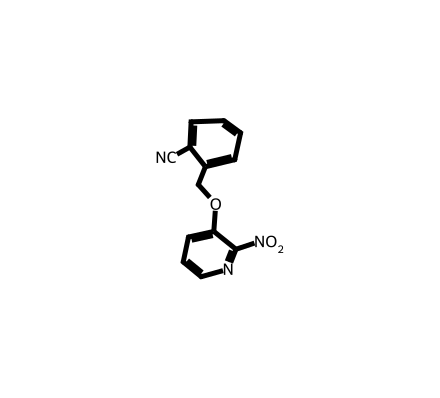 N#Cc1ccccc1COc1cccnc1[N+](=O)[O-]